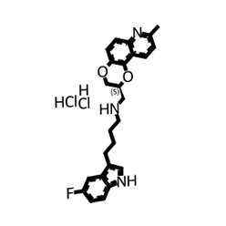 Cc1ccc2c3c(ccc2n1)OC[C@H](CNCCCCc1c[nH]c2ccc(F)cc12)O3.Cl.Cl